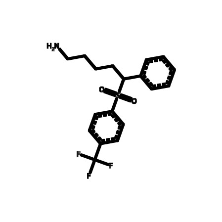 NCCCCC(c1ccccc1)S(=O)(=O)c1ccc(C(F)(F)F)cc1